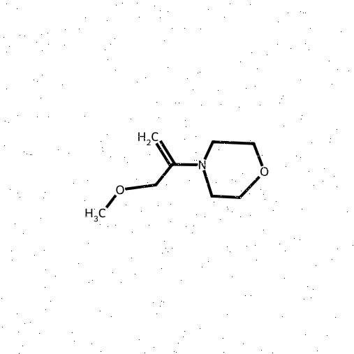 C=C(COC)N1CCOCC1